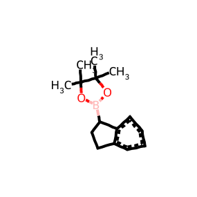 CC1(C)OB(C2CCc3ccccc32)OC1(C)C